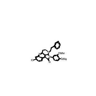 COc1ccc(N2C(=O)c3c4c(nc5cc(Cl)ccc35)CCN(CCc3ccccc3)C42)cc1OC